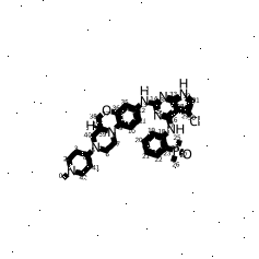 CN1CCC(N2CCN3c4ccc(Nc5nc(Nc6ccccc6P(C)(C)=O)c6c(Cl)c[nH]c6n5)cc4OC[C@H]3C2)CC1